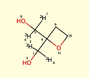 [2H]C([2H])(O)C1(C([2H])([2H])O)CCO1